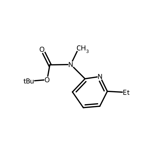 CCc1cccc(N(C)C(=O)OC(C)(C)C)n1